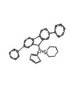 C1=CC[C]([Zr]([CH]2c3cc(-c4ccccc4)ccc3-c3ccc(-c4ccccc4)cc32)=[Si]2CCCCC2)=C1